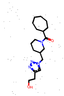 O=C(C1CCCCCC1)N1CCCC(Cn2cc(CCO)nn2)C1